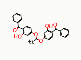 C[CH]C(Oc1ccc(C(=O)c2ccccc2)c(O)c1)Oc1ccc(C(=O)c2ccccc2)c(O)c1